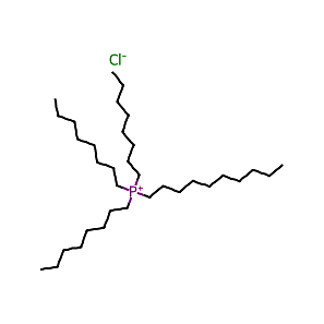 CCCCCCCCCC[P+](CCCCCCCC)(CCCCCCCC)CCCCCCCC.[Cl-]